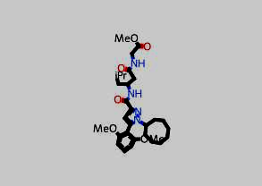 COC(=O)CNC(=O)CC(CC(C)C)NC(=O)c1cc(-c2c(OC)cccc2OC)n(C2CCCCCCC2)n1